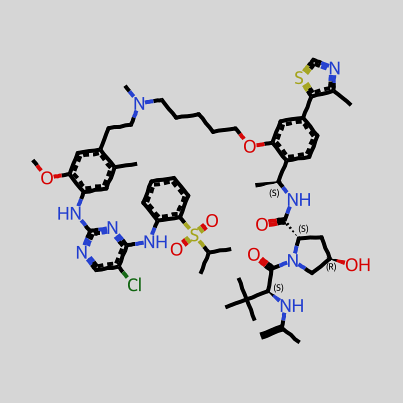 C=C(C)N[C@H](C(=O)N1C[C@H](O)C[C@H]1C(=O)N[C@@H](C)c1ccc(-c2scnc2C)cc1OCCCCCN(C)CCc1cc(OC)c(Nc2ncc(Cl)c(Nc3ccccc3S(=O)(=O)C(C)C)n2)cc1C)C(C)(C)C